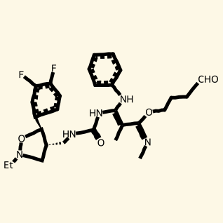 CCN1C[C@@H](CNC(=O)N/C(Nc2ccccc2)=C(C)/C(=N\C)OCCCC=O)[C@H](c2ccc(F)c(F)c2)O1